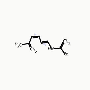 C=C(C)/C=C\C=C\NC(=C)CC